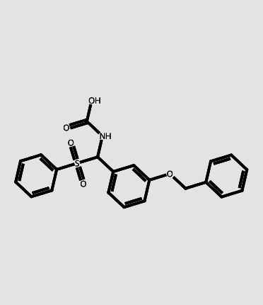 O=C(O)NC(c1cccc(OCc2ccccc2)c1)S(=O)(=O)c1ccccc1